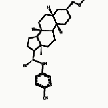 CCOC[C@H]1CC[C@@H]2C3CC[C@@]4(C)C(CCC4[C@@H](CC)Nc4ccc(C#N)nc4)[C@@H]3CC[C@@H]2C1